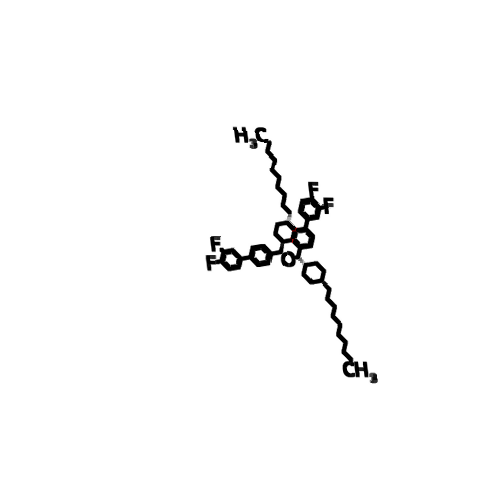 CCCCCCCCCC[C@H]1CC[C@H](C(OC(c2ccc(-c3ccc(F)c(F)c3)cc2)[C@H]2CC[C@H](CCCCCCCCCC)CC2)c2ccc(-c3ccc(F)c(F)c3)cc2)CC1